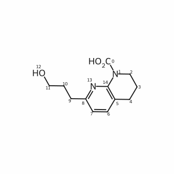 O=C(O)N1CCCc2ccc(CCCO)nc21